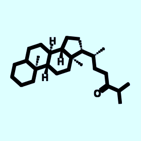 CC(C)C(=O)CC[C@@H](C)[C@H]1CC[C@H]2[C@@H]3CCC4CCCC[C@]4(C)[C@H]3CC[C@]12C